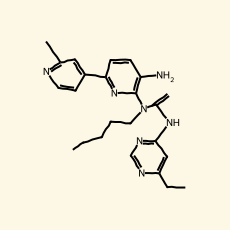 C=C(Nc1cc(CC)ncn1)N(CCCCC)c1nc(-c2ccnc(C)c2)ccc1N